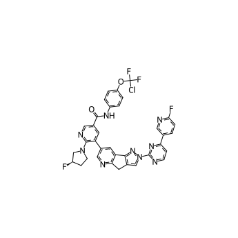 O=C(Nc1ccc(OC(F)(F)Cl)cc1)c1cnc(N2CC[C@@H](F)C2)c(-c2cnc3c(c2)-c2nn(-c4nccc(-c5ccc(F)nc5)n4)cc2C3)c1